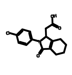 O=C(O)CC1C2=C(CCCC2)C(=O)N1c1ccc(Cl)cc1